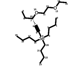 CCC[CH2][Sn]([C]#C[C@H](CC)OCCOCC)([CH2]CCC)[CH2]CCC